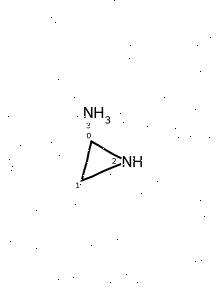 C1CN1.N